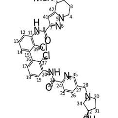 CN[C@@H]1CCCn2nc(C(=O)Nc3cccc(-c4cccc(NC(=O)c5ccc(CN6CC[C@@H](O)C6)cn5)c4Cl)c3Cl)cc21